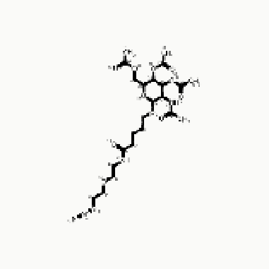 CC(=O)NC1C(OCCCCC(=O)NCCOCCN=[N+]=[N-])OC(COC(C)=O)C(OC(C)=O)C1OC(C)=O